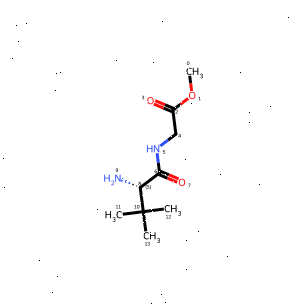 COC(=O)CNC(=O)[C@@H](N)C(C)(C)C